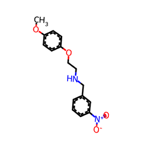 COc1ccc(OCCNCc2cccc([N+](=O)[O-])c2)cc1